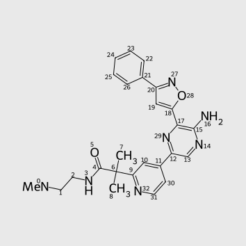 CNCCNC(=O)C(C)(C)c1cc(-c2cnc(N)c(-c3cc(-c4ccccc4)no3)n2)ccn1